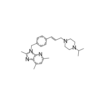 Cc1cc(C)c2nc(C)n(Cc3ccc(C=CCN4CCN(C(C)C)CC4)cc3)c2n1